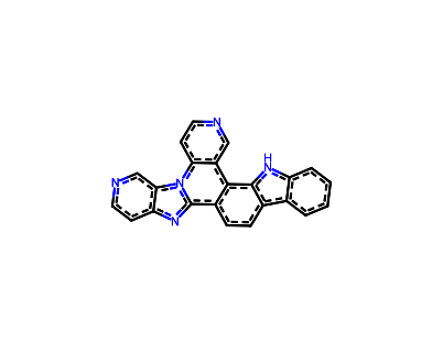 c1ccc2c(c1)[nH]c1c2ccc2c1c1cnccc1n1c3cnccc3nc21